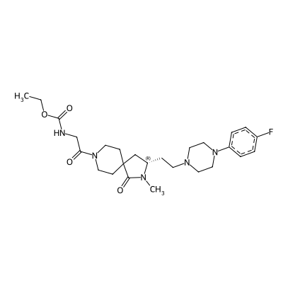 CCOC(=O)NCC(=O)N1CCC2(CC1)C[C@H](CCN1CCN(c3ccc(F)cc3)CC1)N(C)C2=O